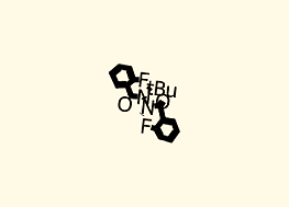 CN(C(=O)c1ccccc1F)N(C(=O)c1ccccc1F)C(C)(C)C